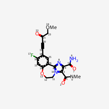 CNC(=O)c1c(C(N)=O)nc2n1CCOc1cc(F)c(C#CC(=O)COC)cc1-2